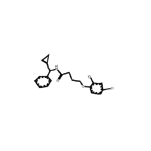 O=C(CCCOc1ccc(Cl)cc1Cl)NC(c1ccccc1)C1CC1